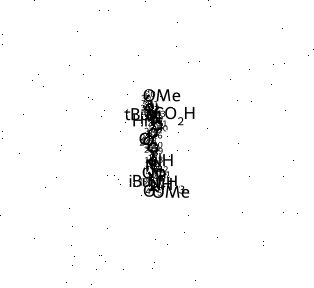 CC[C@H](C)[C@H](NC(=O)OC)C(=O)N1[C@@H](C)CC[C@H]1c1ncc(-c2ccc3c(c2)COc2cc4c(ccc5nc([C@@]6(C(C)(C)C)C[C@H](COC)CN6C(=O)O)[nH]c54)cc2-3)[nH]1